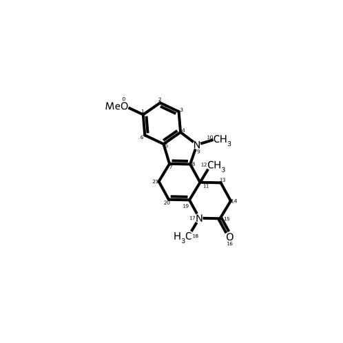 COc1ccc2c(c1)c1c(n2C)C2(C)CCC(=O)N(C)C2=CC1